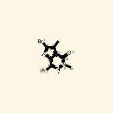 Cc1c(Br)sc2c(C(C)C)nn(C)c(=O)c12